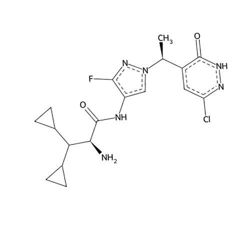 C[C@@H](c1cc(Cl)n[nH]c1=O)n1cc(NC(=O)[C@@H](N)C(C2CC2)C2CC2)c(F)n1